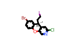 C[C@@]1(CCI)c2cc(Br)ccc2Oc2cnc(Cl)cc21